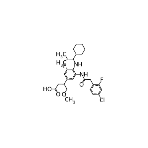 COCC(CC(=O)O)c1cc(F)c(NC(C(C)C)C2CCCCC2)c(NC(=O)Cc2ccc(Cl)cc2F)c1